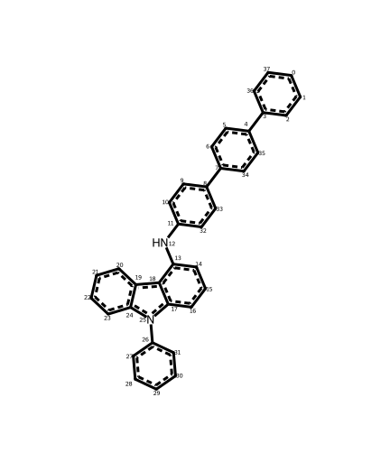 c1ccc(-c2ccc(-c3ccc(Nc4cccc5c4c4ccccc4n5-c4ccccc4)cc3)cc2)cc1